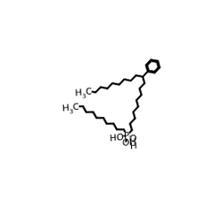 CCCCCCCCCCP(O)(O)(O)CCCCCCCCCC(CCCCCCCCC)c1ccccc1